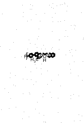 CN1CCN(C[C@H](O)CN2CCc3ccccc3C2)Cc2ccc(C3=CCC(C(F)(F)F)CC3)cc21